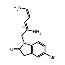 N/C=C\C=C(/N)CN1C(=O)Cc2cc(Br)ccc21